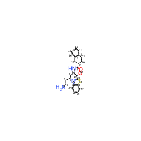 NCCCC[C@H](NC(=O)C1CCc2ccccc2C1)C(=O)c1nc2ccccc2s1